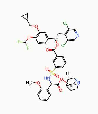 COc1ccccc1C(NS(=O)(=O)c1cccc(C(=O)O[C@@H](Cc2c(Cl)cncc2Cl)c2ccc(OC(F)F)c(OCC3CC3)c2)c1)C(=O)O[C@H]1CN2CCC1CC2